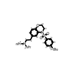 CCCN(CCC)CCc1ccc2c(c1)N(S(=O)(=O)c1ccc(C(C)(C)C)cc1)CCO2